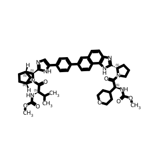 COC(=O)N[C@H](C(=O)N1[C@@H]2CC[C@@H](C2)[C@H]1c1ncc(-c2ccc(-c3ccc4c(ccc5nc([C@@H]6CCCN6C(=O)[C@@H](NC(=O)OC)C6CCOCC6)[nH]c54)c3)cc2)[nH]1)C(C)C